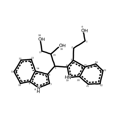 OCCc1c(C(c2c[nH]c3ccccc23)C(O)CO)[nH]c2ccccc12